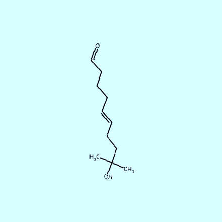 CC(C)(O)CCC=CCCCC=O